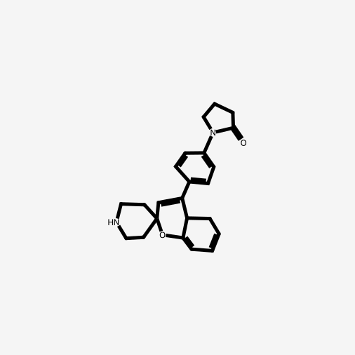 O=C1CCCN1c1ccc(C2=CC3(CCNCC3)OC3=CC=CCC32)cc1